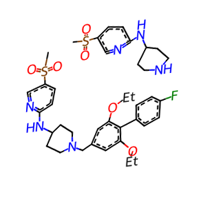 CCOc1cc(CN2CCC(Nc3ccc(S(C)(=O)=O)cn3)CC2)cc(OCC)c1-c1ccc(F)cc1.CS(=O)(=O)c1ccc(NC2CCNCC2)nc1